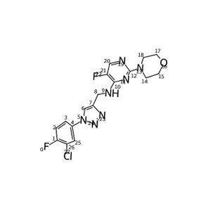 Fc1ccc(-n2cc(CNc3nc(N4CCOCC4)ncc3F)nn2)cc1Cl